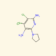 Nc1nc(N2CCCC2)c(N)c(Cl)c1Cl